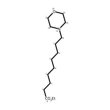 CCOC(=O)CCCCCCCCN1CCOCC1